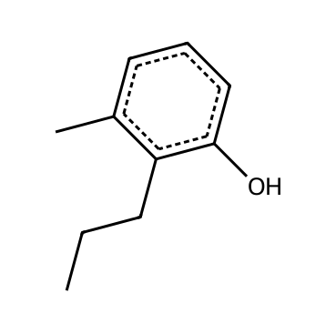 CCCc1c(C)cccc1O